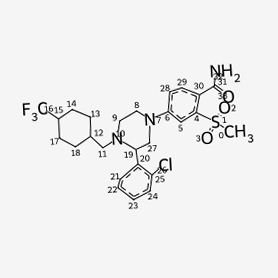 CS(=O)(=O)c1cc(N2CCN(CC3CCC(C(F)(F)F)CC3)C(c3ccccc3Cl)C2)ccc1C(N)=O